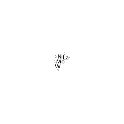 [La].[Mo].[Ni].[W]